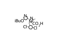 Cc1nc(-c2cncc(OCC(C)C)c2)n(Cc2cc(Cl)ccc2Cl)c1C(=O)O